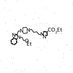 CCOCCn1c(CN2CCN(CCCCn3cc(C(=O)OCC)cn3)CC2)nc2ccccc21